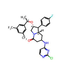 C[C@@H](O[C@H]1CN2C(=O)CC(Nc3ccnc(Cl)n3)C[C@H]2C1c1ccc(F)cc1)c1cc(C(F)(F)F)cc(C(F)(F)F)c1